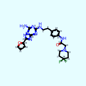 Nc1nc(NCCc2ccc(NC(=O)CN3CCC(F)(F)CC3)cc2)nc2nc(-c3ccco3)nn12